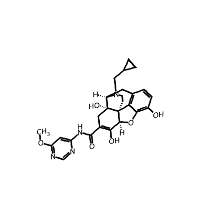 COc1cc(NC(=O)C2=C(O)[C@@H]3Oc4c(O)ccc5c4[C@@]34CCN(CC3CC3)[C@H](C5)[C@]4(O)C2)ncn1